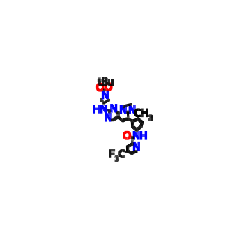 Cc1ccc(NC(=O)c2cc(C(F)(F)F)ccn2)cc1C1=Cc2cnc(NC3CN(C(=O)OC(C)(C)C)C3)nc2N2CCN=C12